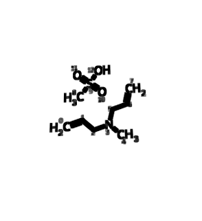 C=CCN(C)CC=C.CS(=O)(=O)O